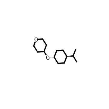 CC(C)[C@H]1CC[C@H](OC2CCOCC2)CC1